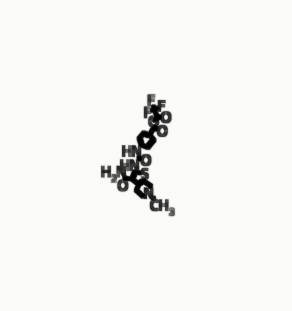 CCN1CCc2c(sc(NC(=O)Nc3ccc(C(=O)OC(=O)C(F)(F)F)cc3)c2C(N)=O)C1